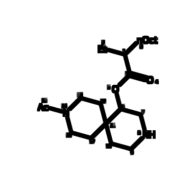 CCCCCCCCC(CC)C(=O)OC1CNCCC12CCN(C(C)=O)CC2